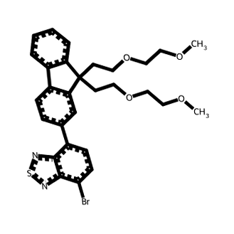 COCCOCCC1(CCOCCOC)c2ccccc2-c2ccc(-c3ccc(Br)c4nsnc34)cc21